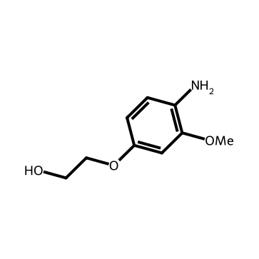 COc1cc(OCCO)ccc1N